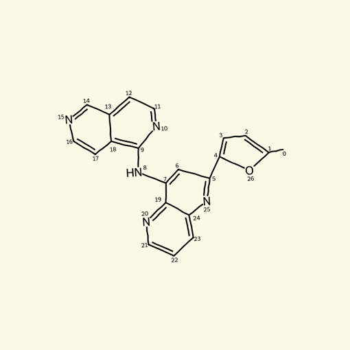 Cc1ccc(-c2cc(Nc3nccc4cnccc34)c3ncccc3n2)o1